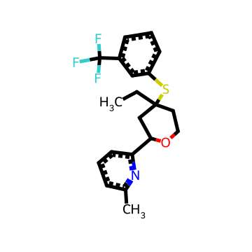 CCC1(Sc2cccc(C(F)(F)F)c2)CCOC(c2cccc(C)n2)C1